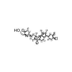 Cc1cc(N2CCN(C(=O)c3ccc4c(-c5ccc(Cl)c(F)c5)c(C)n(C)c4n3)C(C)(C)C2)nc(C)c1C(=O)O